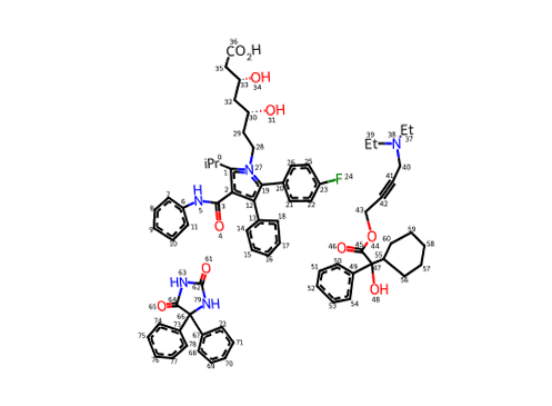 CC(C)c1c(C(=O)Nc2ccccc2)c(-c2ccccc2)c(-c2ccc(F)cc2)n1CC[C@@H](O)C[C@@H](O)CC(=O)O.CCN(CC)CC#CCOC(=O)C(O)(c1ccccc1)C1CCCCC1.O=C1NC(=O)C(c2ccccc2)(c2ccccc2)N1